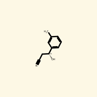 Cc1cccc([C@H](O)CC#N)c1